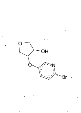 OC1COCC1Oc1ccc(Br)nc1